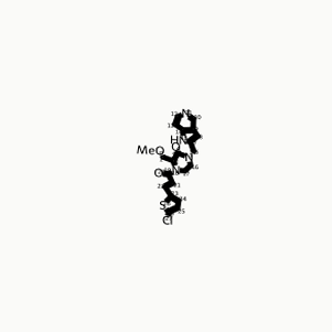 COCC1C(=O)N(Cc2cc3cnccc3[nH]2)CCN1C(=O)C=Cc1ccc(Cl)s1